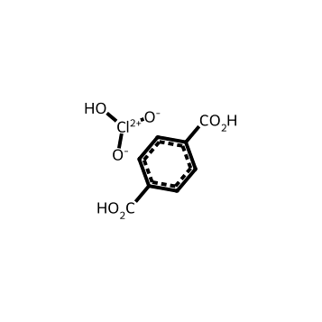 O=C(O)c1ccc(C(=O)O)cc1.[O-][Cl+2]([O-])O